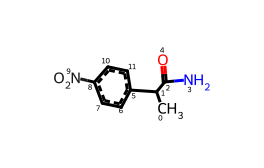 CC(C(N)=O)c1ccc([N+](=O)[O-])cc1